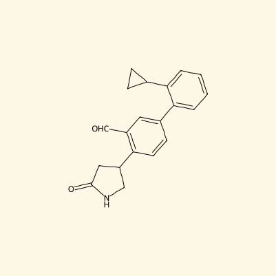 O=Cc1cc(-c2ccccc2C2CC2)ccc1C1CNC(=O)C1